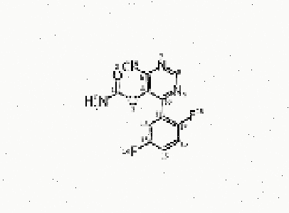 NC(=O)Oc1c(Cl)ncnc1-c1cc(F)ccc1F